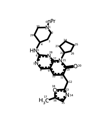 CCCN1CCC(Nc2ncc3cc(Cc4ncc(C)o4)c(=O)n(C4CCCC4)c3n2)CC1